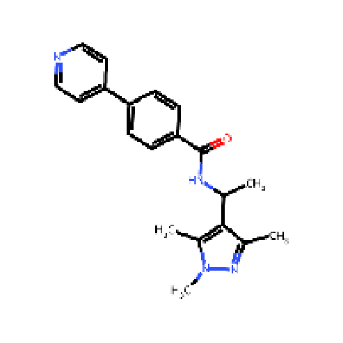 Cc1nn(C)c(C)c1C(C)NC(=O)c1ccc(-c2ccncc2)cc1